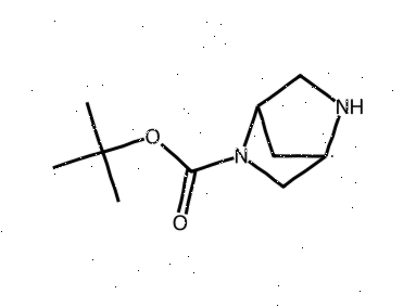 CC(C)(C)OC(=O)N1C[C]2CC1CN2